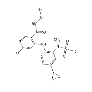 CCONC(=O)c1cnc(Cl)cc1Nc1ccc(C2CC2)cc1N(C)S(=O)(=O)CC